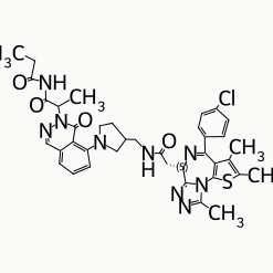 CCC(=O)NC(=O)C(C)n1ncc2cccc(N3CCC(CNC(=O)C[C@@H]4N=C(c5ccc(Cl)cc5)c5c(sc(C)c5C)-n5c(C)nnc54)C3)c2c1=O